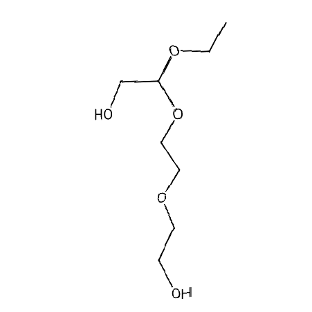 CCOC(CO)OCCOCCO